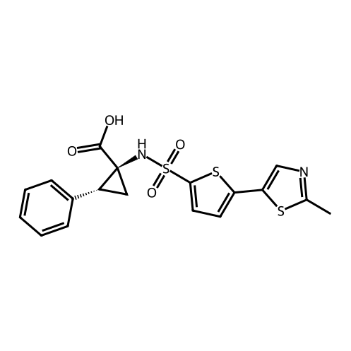 Cc1ncc(-c2ccc(S(=O)(=O)N[C@@]3(C(=O)O)C[C@@H]3c3ccccc3)s2)s1